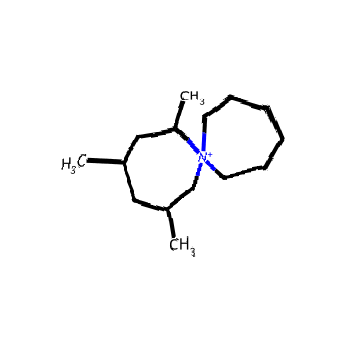 CC1CC(C)C[N+]2(CCCCCC2)C(C)C1